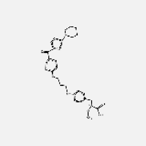 CO[C@@H](Cc1ccc(OCCCOc2ccc(C(=O)c3ccc(N4CCCCC4)cc3)cc2)cc1)C(=O)O